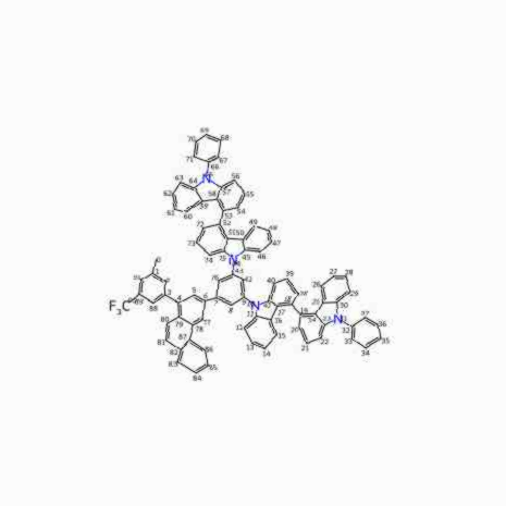 Cc1cc(-c2cc(-c3cc(-n4c5ccccc5c5c(-c6cccc7c6c6ccccc6n7-c6ccccc6)cccc54)cc(-n4c5ccccc5c5c(-c6cccc7c6c6ccccc6n7-c6ccccc6)cccc54)c3)cc3c2ccc2ccccc23)cc(C(F)(F)F)c1